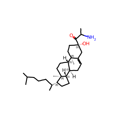 CC(C)CCCC(C)[C@H]1CC[C@H]2[C@@H]3CC=C4C[C@](O)(C(=O)C(C)N)CC[C@]4(C)[C@H]3CC[C@]12C